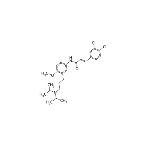 COc1ccc(NC(=O)/C=C/c2ccc(Cl)c(Cl)c2)cc1CCCN(C(C)C)C(C)C